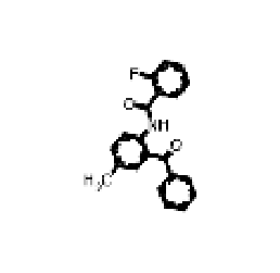 Cc1ccc(NC(=O)c2ccccc2F)c(C(=O)c2ccccc2)c1